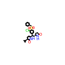 O=C1CC[C@H](/C=C(\c2ccc(S(=O)(=O)Cc3ccccc3)c(Cl)c2)c2ccc(C3CC3)c(=O)[nH]2)N1